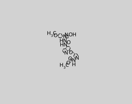 COCC(=O)Nc1cc(COc2ccc(NC(=O)Nc3cc(O)nn3-c3ccc(OC)cc3)c3cccnc23)ccn1